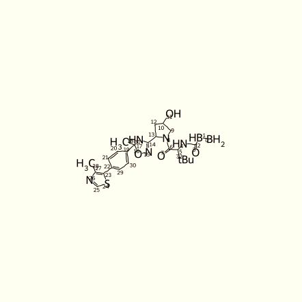 BBC(=O)NC(C(=O)N1CC(O)CC1C1=NOC(C)(c2ccc(-c3scnc3C)cc2)N1)C(C)(C)C